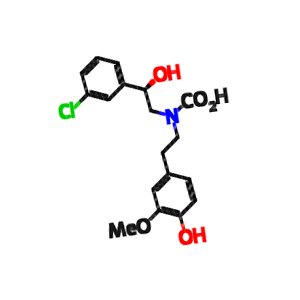 COc1cc(CCN(C[C@H](O)c2cccc(Cl)c2)C(=O)O)ccc1O